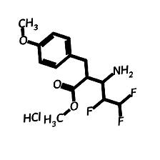 COC(=O)C(Cc1ccc(OC)cc1)C(N)C(F)C(F)F.Cl